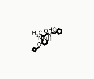 Cc1nc2c(OCC3CCC3)cccn2c1C(=O)NCCC1(O)CCCC1